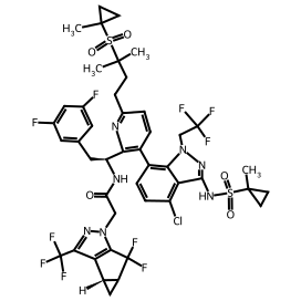 CC1(S(=O)(=O)Nc2nn(CC(F)(F)F)c3c(-c4ccc(CCC(C)(C)S(=O)(=O)C5(C)CC5)nc4[C@H](Cc4cc(F)cc(F)c4)NC(=O)Cn4nc(C(F)(F)F)c5c4C(F)(F)C4C[C@H]54)ccc(Cl)c23)CC1